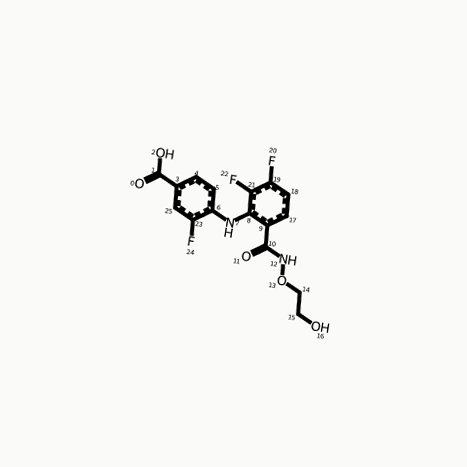 O=C(O)c1ccc(Nc2c(C(=O)NOCCO)ccc(F)c2F)c(F)c1